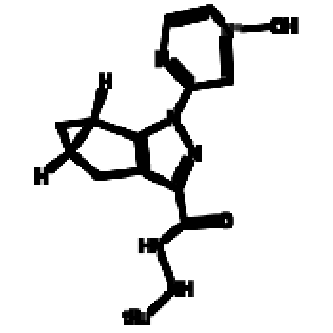 CC(C)(C)NNC(=O)c1nn(-c2c[n+](O)ccn2)c2c1C[C@@H]1C[C@H]21